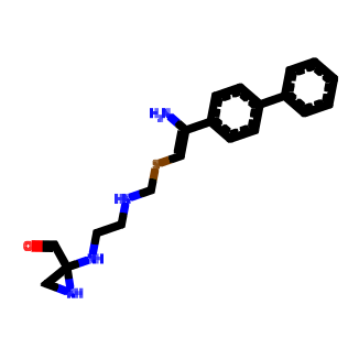 N/C(=C\SCNCCNC1(C=O)CN1)c1ccc(-c2ccccc2)cc1